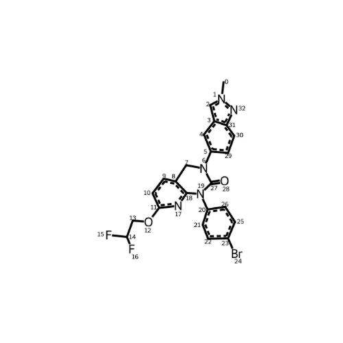 Cn1cc2cc(N3Cc4ccc(OCC(F)F)nc4N(c4ccc(Br)cc4)C3=O)ccc2n1